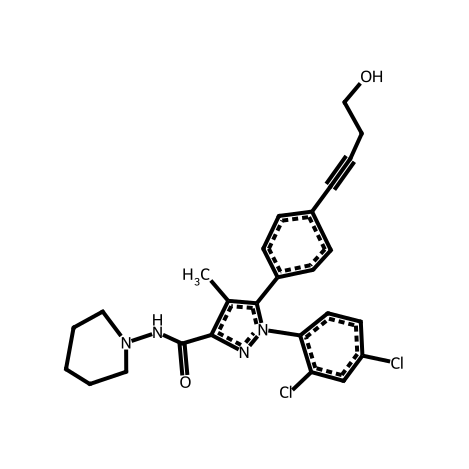 Cc1c(C(=O)NN2CCCCC2)nn(-c2ccc(Cl)cc2Cl)c1-c1ccc(C#CCCO)cc1